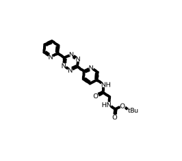 CC(C)(C)OC(=O)NCC(=O)Nc1ccc(-c2nnc(-c3ccccn3)nn2)nc1